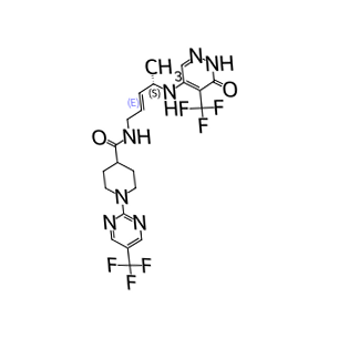 C[C@@H](/C=C/CNC(=O)C1CCN(c2ncc(C(F)(F)F)cn2)CC1)Nc1cn[nH]c(=O)c1C(F)(F)F